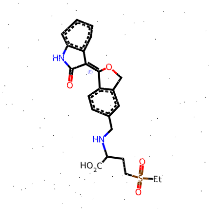 CCS(=O)(=O)CCC(NCc1ccc2c(c1)CO/C2=C1/C(=O)Nc2ccccc21)C(=O)O